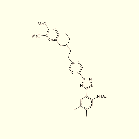 COc1cc2c(cc1OC)CN(CCc1ccc(-n3nnc(-c4cc(C)c(C)cc4NC(C)=O)n3)cc1)CC2